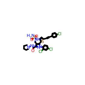 NS(=O)(=O)NCc1c(C(=O)NN2CCCCC2)nn(-c2ccc(Cl)cc2Cl)c1-c1ccc(C#Cc2ccc(Cl)cc2)s1